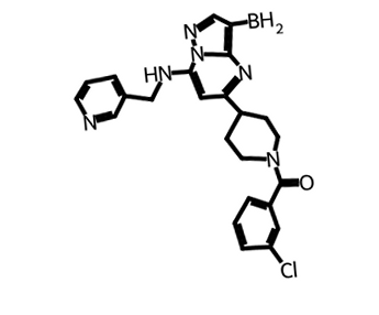 Bc1cnn2c(NCc3cccnc3)cc(C3CCN(C(=O)c4cccc(Cl)c4)CC3)nc12